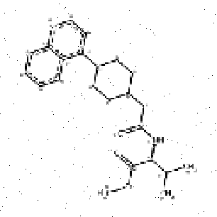 COC(=O)[C@@H](NC(=O)CC1CCC(c2ccnc3ccccc23)CC1)C(C)C